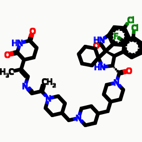 C=C(/C=N\C=C(/C)C1CCC(=O)NC1=O)N1CCC(CN2CCC(CC3CCN(C(=O)[C@@H]4NC5(CCCCC5)[C@@]5(C(=O)Nc6cc(Cl)ccc65)C4c4cccc(Cl)c4F)CC3)CC2)CC1